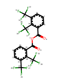 O=C(OC(=O)c1cccc(C(F)(F)F)c1C(F)(F)F)c1cccc(C(F)(F)F)c1C(F)(F)F